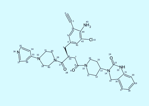 C#Cc1cc(C[C@@H](CC(=O)N2CCC(N3Cc4ccccc4NC3=O)CC2)C(=O)N2CCN(c3ccncc3)CC2)cc(Cl)c1N